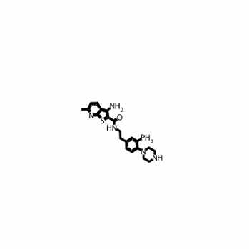 Cc1ccc2c(N)c(C(=O)NCCc3ccc(N4CCNCC4)c(P)c3)sc2n1